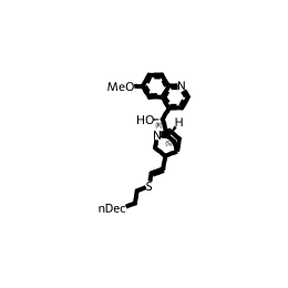 CCCCCCCCCCCCSC=CC1CN2CCC1C[C@H]2[C@H](O)c1ccnc2ccc(OC)cc12